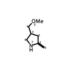 C=C1CC(COC)CN1